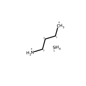 CCCCN.[SiH4]